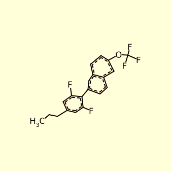 CCCc1cc(F)c(-c2ccc3cc(OC(F)(F)F)ccc3c2)c(F)c1